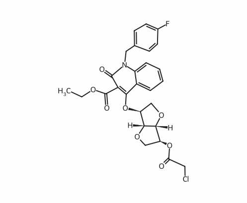 CCOC(=O)c1c(O[C@H]2CO[C@H]3[C@@H]2OC[C@@H]3OC(=O)CCl)c2ccccc2n(Cc2ccc(F)cc2)c1=O